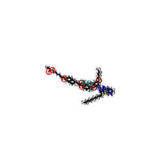 C=CC(=O)OCCCCCCOc1ccc2cc(CCC(=O)Oc3ccc(C(F)(F)Oc4ccc(OCCCCC)cc4/C=N/N(CCCCCCCCCCCC)c4nc5cccnc5s4)c(F)c3F)ccc2c1